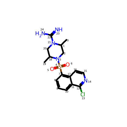 CC1CN(S(=O)(=O)c2cccc3c(Cl)nccc23)C(C)CN1C(=N)N